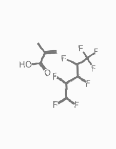 C=C(C)C(=O)O.FC(F)C(F)C(F)C(F)C(F)(F)F